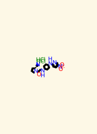 Cl.Cl.N#C[C@@H]1CCCN1C(=O)CNC1CCC(Nc2ccc([N+](=O)[O-])cn2)CC1